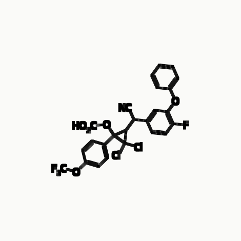 N#CC(c1ccc(F)c(Oc2ccccc2)c1)C1C(Cl)(Cl)C1(OC(=O)O)c1ccc(OC(F)(F)F)cc1